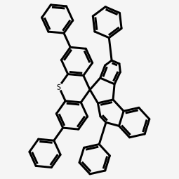 c1ccc(-c2ccc3c(c2)Sc2cc(-c4ccccc4)ccc2C32c3cc(-c4ccccc4)ccc3-c3c2cc(-c2ccccc2)c2ccccc32)cc1